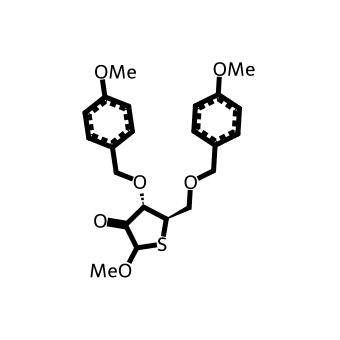 COc1ccc(COC[C@H]2SC(OC)C(=O)[C@@H]2OCc2ccc(OC)cc2)cc1